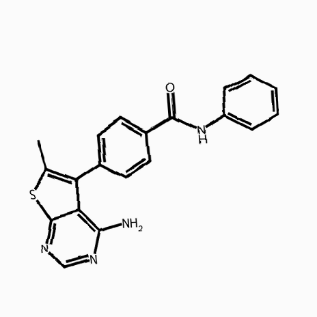 Cc1sc2ncnc(N)c2c1-c1ccc(C(=O)Nc2ccccc2)cc1